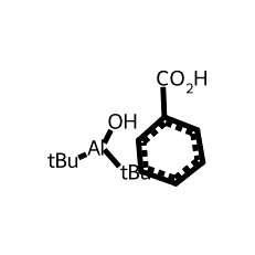 C[C](C)(C)[Al]([OH])[C](C)(C)C.O=C(O)c1ccccc1